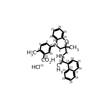 Cc1ccc(N2CC(C)(CN[C@H](C)c3cccc4ccccc34)Oc3ccccc32)cc1C(=O)O.Cl